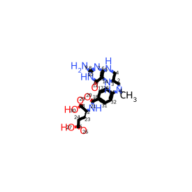 CN(CC1CNc2nc(N)[nH]c(=O)c2N1)c1ccc(C(=O)N[C@@H](CCC(=O)O)C(=O)O)cc1